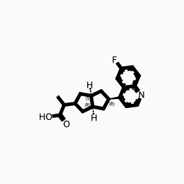 CC(C(=O)O)C1C[C@@H]2C[C@H](c3ccnc4ccc(F)cc34)C[C@@H]2C1